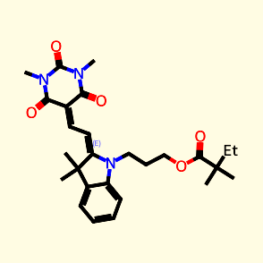 CCC(C)(C)C(=O)OCCCN1/C(=C/C=C2C(=O)N(C)C(=O)N(C)C2=O)C(C)(C)c2ccccc21